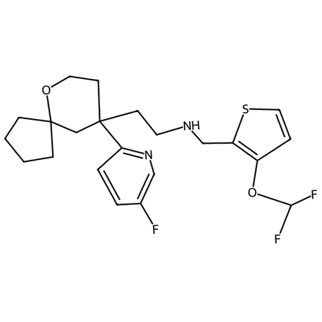 Fc1ccc(C2(CCNCc3sccc3OC(F)F)CCOC3(CCCC3)C2)nc1